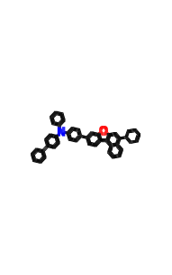 C1=CCC(c2cc3oc4cc(-c5ccc(N(c6ccccc6)c6ccc(-c7ccccc7)cc6)cc5)ccc4c3c3ccccc23)C=C1